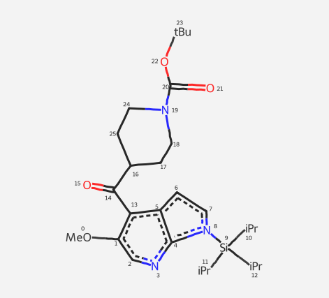 COc1cnc2c(ccn2[Si](C(C)C)(C(C)C)C(C)C)c1C(=O)C1CCN(C(=O)OC(C)(C)C)CC1